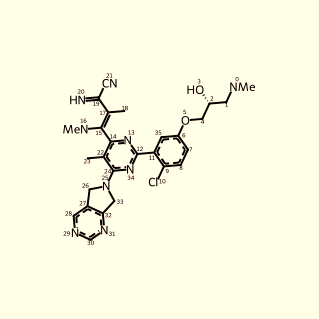 CNC[C@@H](O)COc1ccc(Cl)c(-c2nc(/C(NC)=C(\C)C(=N)C#N)c(C)c(N3Cc4cncnc4C3)n2)c1